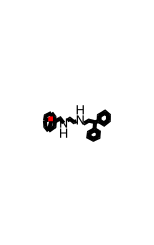 c1ccc(C(CCNCCNCC23CC4CC(CC(C4)C2)C3)c2ccccc2)cc1